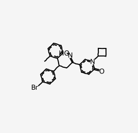 Cc1ccccc1C(C/C(=N\O)c1ccc(=O)n(C2CCC2)c1)c1ccc(Br)cc1